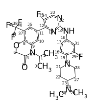 CC(C)N1C(=O)COc2c1cc(-c1nc(Nc3ccc(N4CCC(N(C)C)CC4)c(F)c3)ncc1F)cc2C(F)(F)F